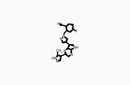 Cc1[nH]ncc1-c1cnc2[nH]cc(-c3cnn(Cc4cc(F)ccc4C#N)c3)c2n1